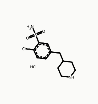 Cl.NS(=O)(=O)c1cc(CC2CCNCC2)ccc1Cl